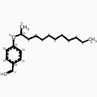 CCCCCCCCCCC(C)Oc1ccc(C=O)cc1